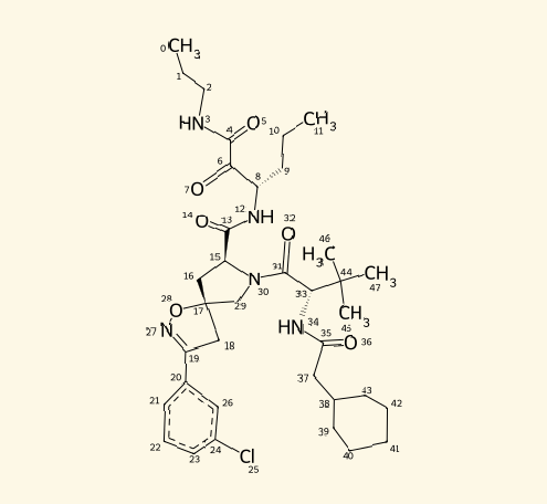 CCCNC(=O)C(=O)[C@H](CCC)NC(=O)[C@@H]1C[C@]2(CC(c3cccc(Cl)c3)=NO2)CN1C(=O)[C@@H](NC(=O)CC1CCCCC1)C(C)(C)C